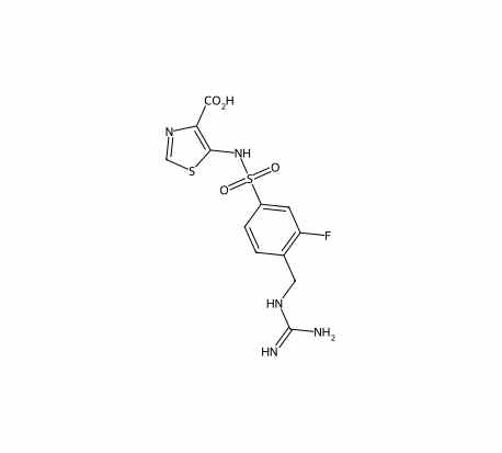 N=C(N)NCc1ccc(S(=O)(=O)Nc2scnc2C(=O)O)cc1F